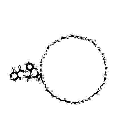 CCC(=O)Oc1c(NC(=O)c2c(Cl)cncc2Cl)cccc1NC1=C(Br)C(=O)C12CCCCCCCCCCCCCCCCCCCCCCCCCCCCCCCCCCCCCCCCCCCCCCCCOCC2